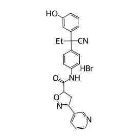 Br.CCC(C#N)(c1ccc(NC(=O)C2CC(c3cccnc3)=NO2)cc1)c1cccc(O)c1